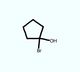 OC1(Br)CCCC1